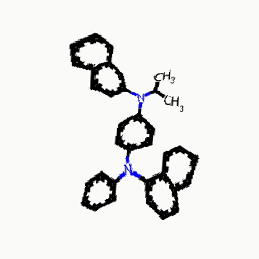 CC(C)N(c1ccc(N(c2ccccc2)c2cccc3ccccc23)cc1)c1ccc2ccccc2c1